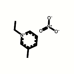 CC[n+]1cccc(C)c1.O=[N+]([O-])[O-]